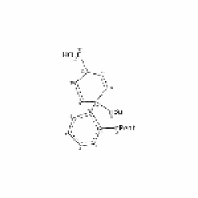 CCCCCc1ccccc1C1(CCCC)C=CC(C(=O)O)C=C1